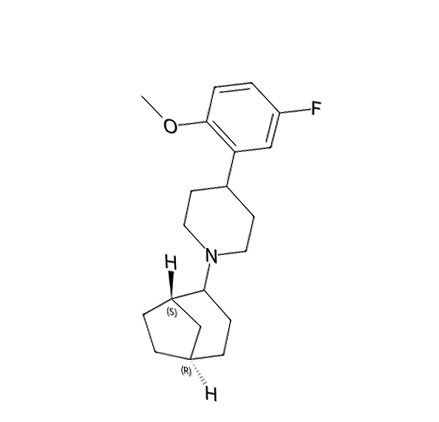 COc1ccc(F)cc1C1CCN(C2CC[C@H]3CC[C@H]2C3)CC1